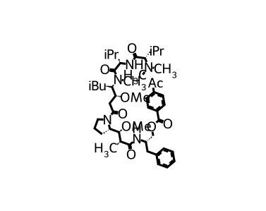 CC[C@H](C)[C@@H]([C@@H](CC(=O)N1CCC[C@H]1[C@H](OC)[C@@H](C)C(=O)N[C@H](COC(=O)c1ccc(C(C)=O)cc1)Cc1ccccc1)OC)N(C)C(=O)[C@@H](NC(=O)[C@H](C(C)C)N(C)C)C(C)C